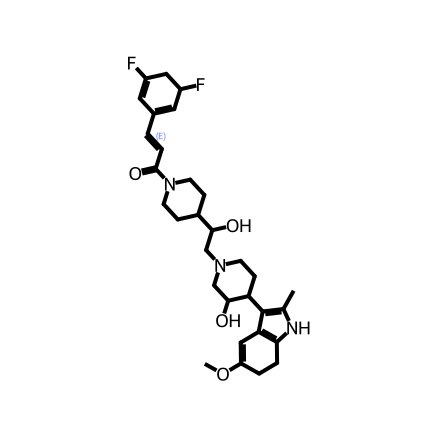 COC1=Cc2c([nH]c(C)c2C2CCN(CC(O)C3CCN(C(=O)/C=C/C4=CC(F)CC(F)=C4)CC3)CC2O)CC1